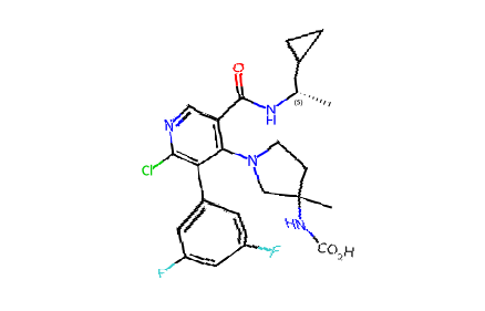 C[C@H](NC(=O)c1cnc(Cl)c(-c2cc(F)cc(F)c2)c1N1CCC(C)(NC(=O)O)C1)C1CC1